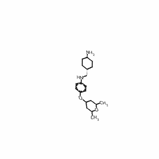 CC1CC(Oc2ccc(NC[C@H]3CC[C@H](N)CC3)cc2)CC(C)O1